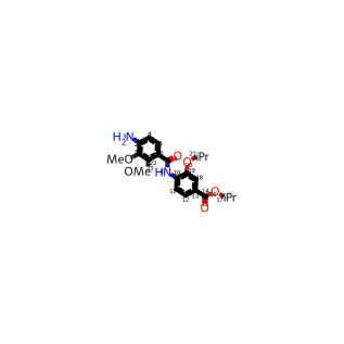 COc1c(N)ccc(C(=O)Nc2ccc(C(=O)OC(C)C)cc2OC(C)C)c1OC